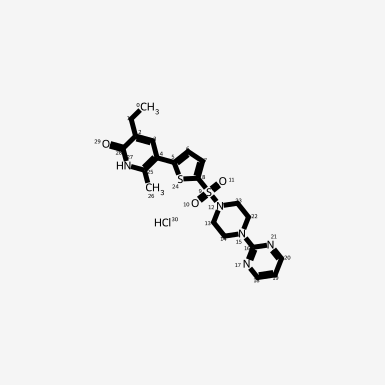 CCc1cc(-c2ccc(S(=O)(=O)N3CCN(c4ncccn4)CC3)s2)c(C)[nH]c1=O.Cl